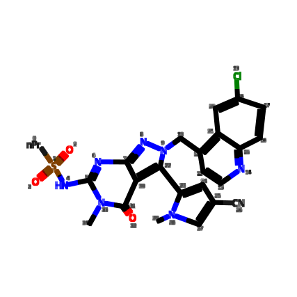 CCCS(=O)(=O)Nc1nc2nn(Cc3ccnc4ccc(Cl)cc34)c(-c3cc(C#N)cn3C)c2c(=O)n1C